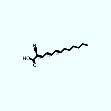 CCCCCC/C=C/C=C/C=C(\C#N)C(=O)O